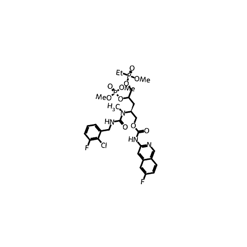 CCP(=O)(OC)OCC(C[C@@H](COC(=O)Nc1cc2cc(F)ccc2cn1)N(C)C(=O)NCc1cccc(F)c1Cl)OP(=O)(OC)OC